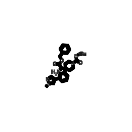 Cn1cc(-c2cccc(C3(C(N)C(=O)OCc4ccccc4)CCN(C(=O)OC(C)(C)C)CC3)c2)cn1